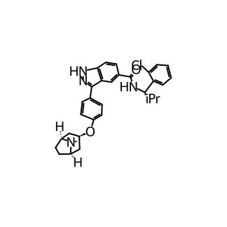 CC(C)[C@@H](NC(=O)c1ccc2[nH]nc(-c3ccc(O[C@H]4C[C@H]5CC[C@@H](C4)N5C)cc3)c2c1)c1ccccc1Cl